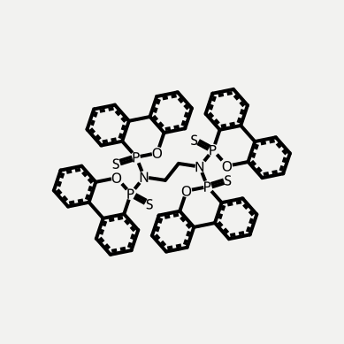 S=P1(N(CCN(P2(=S)Oc3ccccc3-c3ccccc32)P2(=S)Oc3ccccc3-c3ccccc32)P2(=S)Oc3ccccc3-c3ccccc32)Oc2ccccc2-c2ccccc21